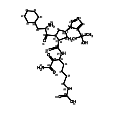 CC(C)(O)c1cnnn1[C@H]1C[C@@H](C(=O)NC(CCCCNC(=O)O)C(=O)C(N)=O)N(C(=O)C(N)CC2CCCCC2)C1